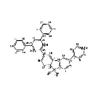 FC1(F)c2ccc(-c3ccncc3)cc2-c2cc(-c3nc(-c4ccccc4)cc(-c4ccccc4)n3)ccc21